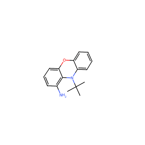 CC(C)(C)N1c2ccccc2Oc2cccc(N)c21